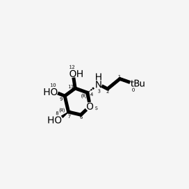 CC(C)(C)CCN[C@@H]1OC[C@@H](O)C(O)C1O